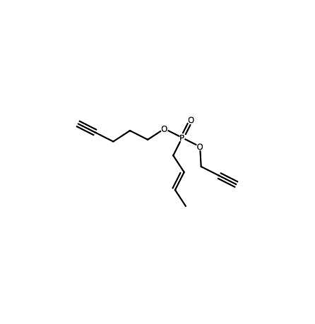 C#CCCCOP(=O)(CC=CC)OCC#C